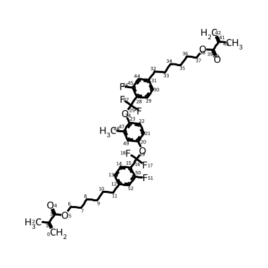 C=C(C)C(=O)OCCCCCCc1ccc(C(F)(F)Oc2ccc(OC(F)(F)c3ccc(CCCCCCOC(=O)C(=C)C)cc3F)c(C)c2)c(F)c1